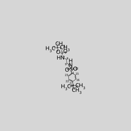 CC(C)(C)OC(=O)NCCNS(=O)(=O)c1ccc(C(C)(C)C)cc1